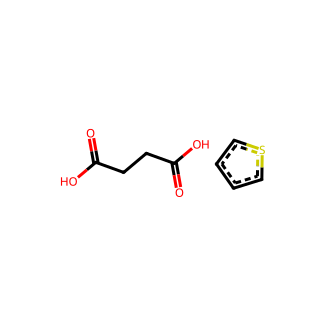 O=C(O)CCC(=O)O.c1ccsc1